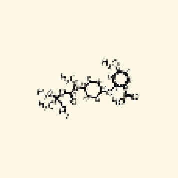 Cc1ccc(C(=O)O)c(OC2CCC(N(C)C(=O)OC(C)(C)C)CC2)c1